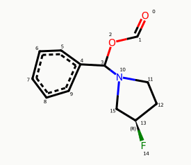 O=COC(c1ccccc1)N1CC[C@@H](F)C1